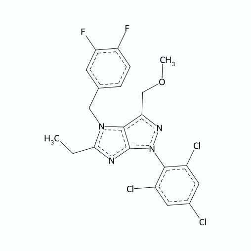 CCc1nc2c(c(COC)nn2-c2c(Cl)cc(Cl)cc2Cl)n1Cc1ccc(F)c(F)c1